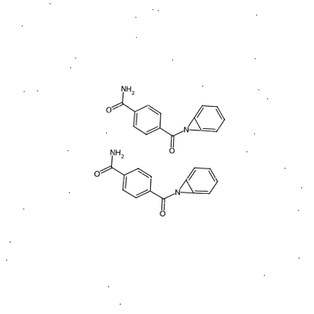 NC(=O)c1ccc(C(=O)N2c3ccccc32)cc1.NC(=O)c1ccc(C(=O)N2c3ccccc32)cc1